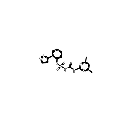 Cc1cc(C)nc(NC(=O)NS(=O)(=O)Oc2ccccc2-c2ccon2)n1